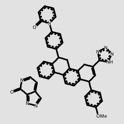 COc1ccc(C2C=C(c3nnn[nH]3)Cc3c2ccc2c3CC(c3ccc(-n4ccccc4=O)cc3)c3ccccc3-2)cc1.O=C1N=CC=C2C=NN=C12